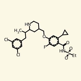 CCS(=O)(=O)NC(=O)c1cc(F)c(OCC2CCNC(C(C)Cc3cc(Cl)cc(Cl)c3)C2)cc1C1CC1